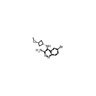 CO[C@H]1C[C@H](Nc2c(N)nnc3ccc(Br)cc23)C1